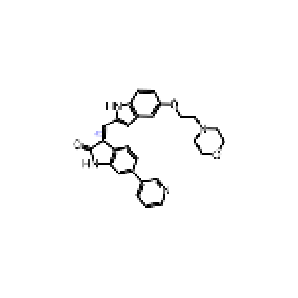 O=C1Nc2cc(-c3cccnc3)ccc2/C1=C\c1cc2cc(OCCN3CCOCC3)ccc2[nH]1